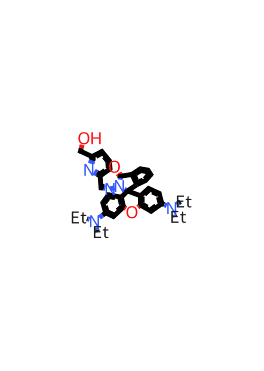 CCN(CC)c1ccc2c(c1)Oc1cc(N(CC)CC)ccc1C21c2ccccc2C(=O)N1/N=C\c1cccc(CO)n1